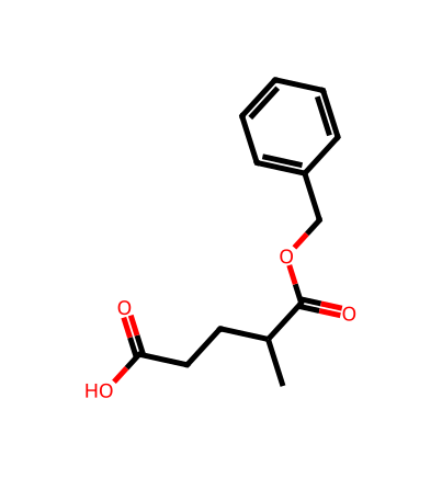 CC(CCC(=O)O)C(=O)OCc1ccccc1